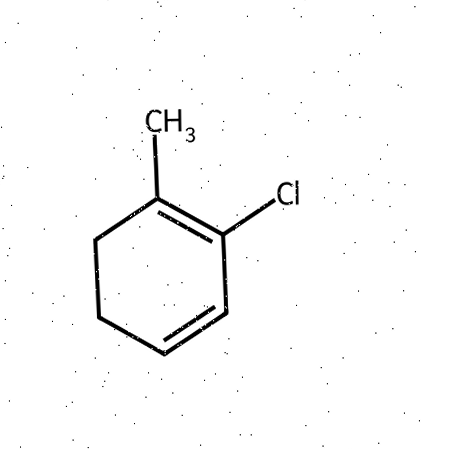 CC1=C(Cl)C=CCC1